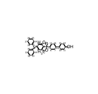 COC(OC)(c1ccc(-c2ccc(O)cc2)cc1)c1ccc([S+](c2ccccc2)c2ccccc2)cc1